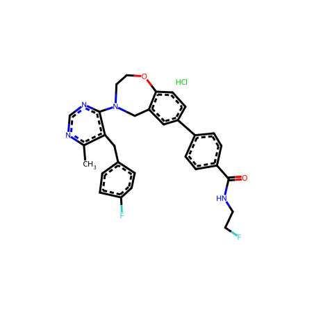 Cc1ncnc(N2CCOc3ccc(-c4ccc(C(=O)NCCF)cc4)cc3C2)c1Cc1ccc(F)cc1.Cl